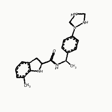 Cc1cccc2c1NC(C(=O)NC(C)c1ccc(N3CNCN3)cc1)C2